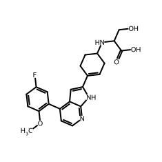 COc1ccc(F)cc1-c1ccnc2[nH]c(C3=CCC(NC(CO)C(=O)O)CC3)cc12